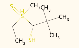 CC[SH](C)(=S)[C@@H](S)C(C)(C)C